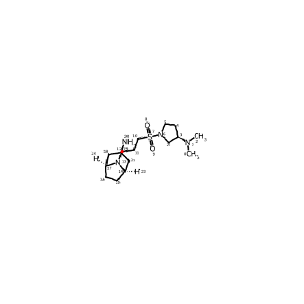 CN(C)[C@@H]1CCN(S(=O)(=O)CCCN2[C@@H]3CC[C@H]2CC(N)C3)C1